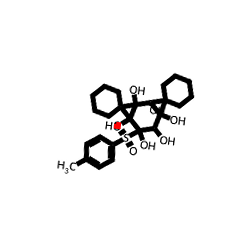 Cc1ccc(S(=O)(=O)C2(O)C(O)C3(O)C4(CCCCC4)C3(O)C3(O)C4(CCCCC4)C32O)cc1